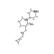 [2H]C1C(COCC2CC2)CCCN1C1CCNCC1